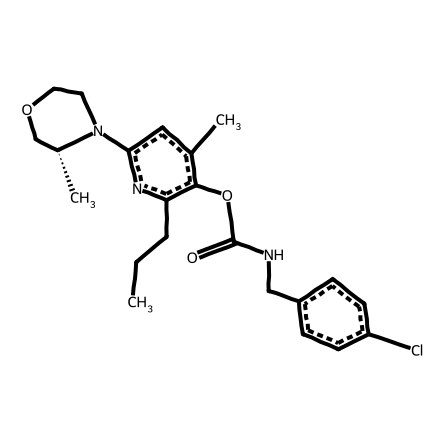 CCCc1nc(N2CCOC[C@H]2C)cc(C)c1OC(=O)NCc1ccc(Cl)cc1